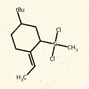 CC=C1CCC(C(C)(C)C)CC1[Si](C)(Cl)Cl